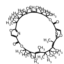 C/C1=C(\C)C(C)(C)C(C)(C)C(C)(C)C(C)(C)c2nc(co2)C(=O)OC(C)(C)C(C)(C)/C(C)=C(\C)C(C)(C)C(C)(C)/C(C)=C(\C)c2nc(co2)C(=O)OC(C)(C)C1(C)C